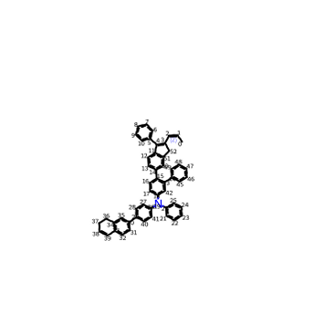 C/C=C\C1=C(c2ccccc2)c2ccc(-c3ccc(N(c4ccccc4)c4ccc(-c5ccc6c(c5)CCC=C6)cc4)cc3-c3ccccc3)cc2C1